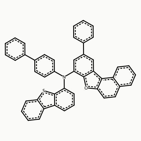 c1ccc(-c2ccc(N(c3cc(-c4ccccc4)cc4c3oc3ccc5ccccc5c34)c3cccc4c3sc3ccccc34)cc2)cc1